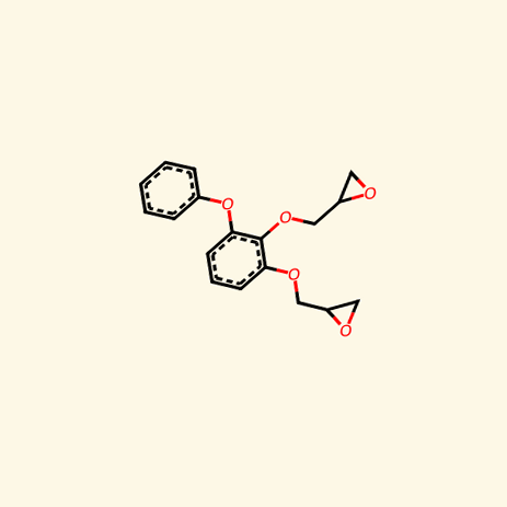 c1ccc(Oc2cccc(OCC3CO3)c2OCC2CO2)cc1